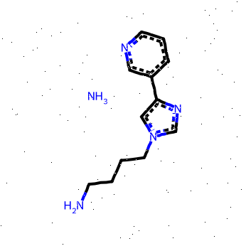 N.NCCCCn1cnc(-c2cccnc2)c1